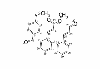 CCc1ccc(C=O)cc1.COC(=O)C=Cc1ccccc1.O=CC=Cc1ccccc1